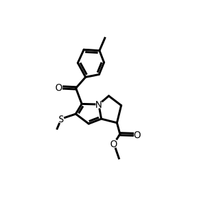 COC(=O)C1CCn2c1cc(SC)c2C(=O)c1ccc(C)cc1